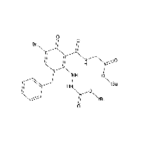 CC(C)(C)OC(=O)CNC(=O)c1c(NNC(=O)OC(C)(C)C)n(Cc2ccccc2)cc(Br)c1=O